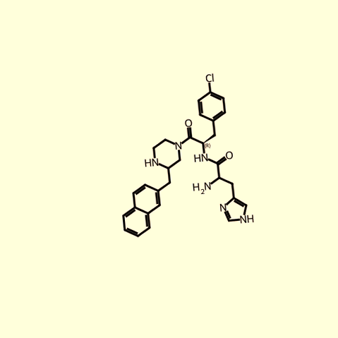 NC(Cc1c[nH]cn1)C(=O)N[C@H](Cc1ccc(Cl)cc1)C(=O)N1CCNC(Cc2ccc3ccccc3c2)C1